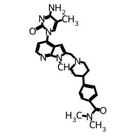 Cc1cn(-c2ccnc3c2cc(CN2CCC(c4ccc(C(=O)N(C)C)cc4)CC2)n3C)c(=O)nc1N